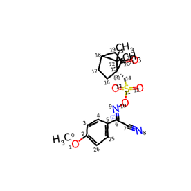 COc1ccc(/C(C#N)=N/OS(=O)(=O)C[C@@]23CCC(CC2=O)C3(C)C)cc1